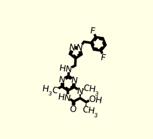 Cc1nc(NCc2cnn(Cc3cc(F)ccc3F)c2)nc2c1NC(=O)[C@H]([C@@H](C)O)N2C